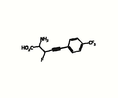 NC(C(=O)O)C(F)C#Cc1ccc(C(F)(F)F)cc1